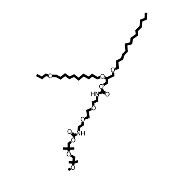 CCCCCCCCCCCCCCOCC(COC(=O)NCCOCCOCCNC(=O)OCC(C)(C)OCC(C)(C)OC)OCCCCCCCCCCCCCC